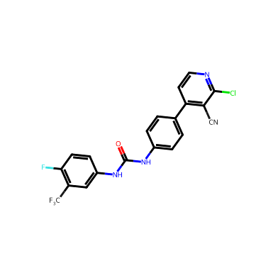 N#Cc1c(-c2ccc(NC(=O)Nc3ccc(F)c(C(F)(F)F)c3)cc2)ccnc1Cl